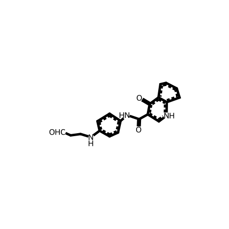 O=CCCNc1ccc(NC(=O)c2c[nH]c3ccccc3c2=O)cc1